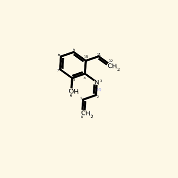 C=C/C=N\c1c(O)cccc1C=C